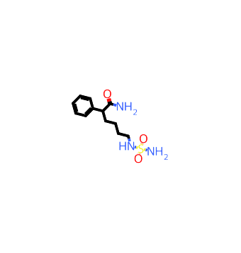 NC(=O)C(CCCCNS(N)(=O)=O)c1ccccc1